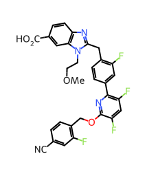 COCCn1c(Cc2ccc(-c3nc(OCc4ccc(C#N)cc4F)c(F)cc3F)cc2F)nc2ccc(C(=O)O)cc21